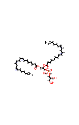 CCCCC/C=C\C/C=C\C/C=C\CCCCCCC(=O)OC[C@H](COP(=O)(O)OC[C@@H](O)CO)OC(=O)CCCCCCC/C=C\C/C=C\CCCCC